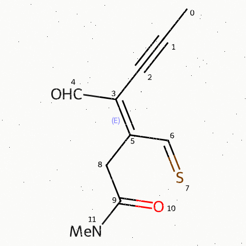 CC#C/C(C=O)=C(\C=S)CC(=O)NC